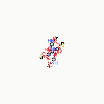 COc1cc(C2C(NC(=O)c3ccc(NC(=O)OC(C)(C)C)cc3)(C(=O)O)C(c3ccc(OC(=O)c4cccs4)c(OC)c3)C2(NC(=O)c2ccc(NC(=O)OC(C)(C)C)cc2)C(=O)O)ccc1OC(=O)c1cccs1